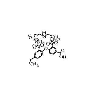 CCNCC.CCc1ccc(Oc2ccc(C(=O)O)cc2S(C)(=O)=O)c(S(N)(=O)=O)c1